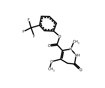 COC1=C(C(=O)Oc2cccc(C(F)(F)F)c2)N(C)NC(=O)C1